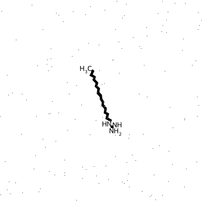 CCCCCCCCC=CCCCCCCCCNC(=N)N